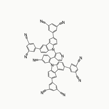 N#Cc1cc(C#N)cc(-c2ccc3c(c2)c2cc(-c4cc(C#N)cc(C#N)c4)ccc2n3-c2cnccc2-c2ccc(C#N)cc2-n2c3ccc(-c4cc(C#N)cc(C#N)c4)cc3c3cc(-c4cc(C#N)cc(C#N)c4)ccc32)c1